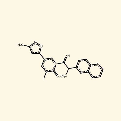 Cc1cc(-c2cc(F)c(=N)n(C(=N)C(C)c3ccc4ncccc4c3)c2)on1